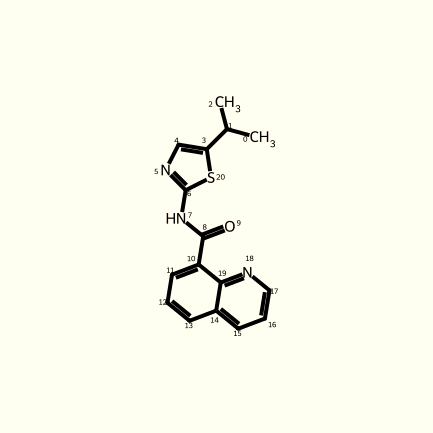 CC(C)c1cnc(NC(=O)c2cccc3cccnc23)s1